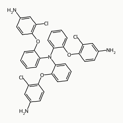 Nc1ccc(Oc2ccccc2N(c2ccccc2Oc2ccc(N)cc2Cl)c2ccccc2Oc2ccc(N)cc2Cl)c(Cl)c1